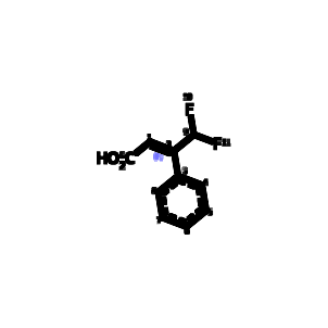 O=C(O)/C=C(\c1ccccc1)C(F)F